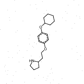 c1cc(OC2CCCCC2)ccc1OCCC1CCCN1